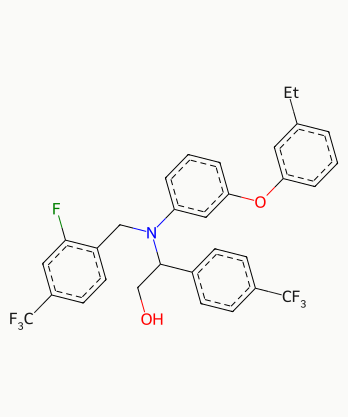 CCc1cccc(Oc2cccc(N(Cc3ccc(C(F)(F)F)cc3F)C(CO)c3ccc(C(F)(F)F)cc3)c2)c1